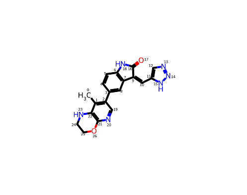 Cc1c(-c2ccc3c(c2)/C(=C/c2cnn[nH]2)C(=O)N3)cnc2c1NCCO2